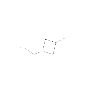 CC(C)C1CN(CC#N)C1